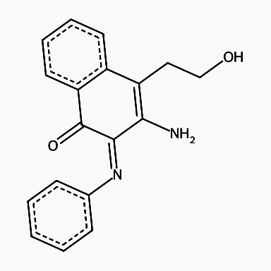 NC1=C(CCO)c2ccccc2C(=O)C1=Nc1ccccc1